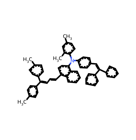 Cc1ccc(C(=C/C=C/c2ccc(N(c3ccc(C=C(c4ccccc4)c4ccccc4)cc3)c3ccc(C)cc3C)c3ccccc23)c2ccc(C)cc2)cc1